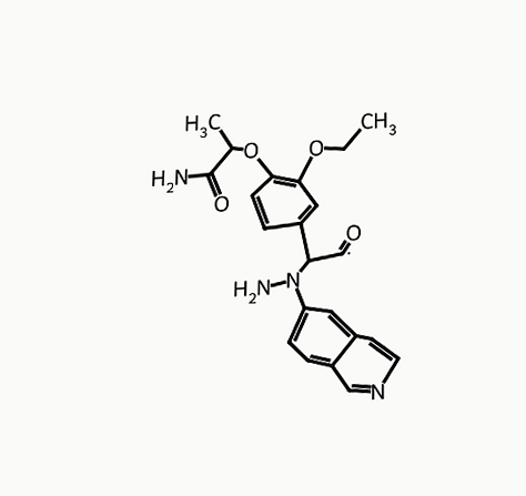 CCOc1cc(C([C]=O)N(N)c2ccc3cnccc3c2)ccc1OC(C)C(N)=O